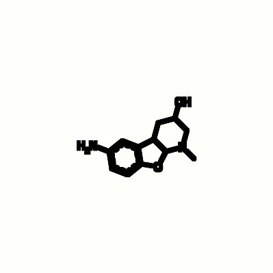 CN1CC(O)CC2c3cc(N)ccc3OC21